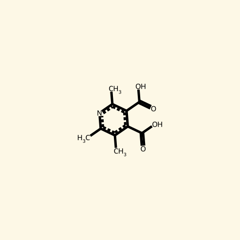 Cc1nc(C)c(C(=O)O)c(C(=O)O)c1C